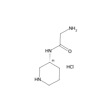 Cl.NCC(=O)N[C@@H]1CCCNC1